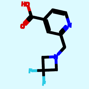 O=C(O)c1ccnc(CN2CC(F)(F)C2)c1